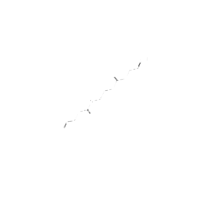 C=CCOC(=O)[N]CCOC(=O)OCC=C